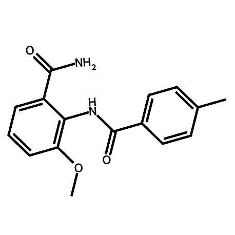 COc1cccc(C(N)=O)c1NC(=O)c1ccc(C)cc1